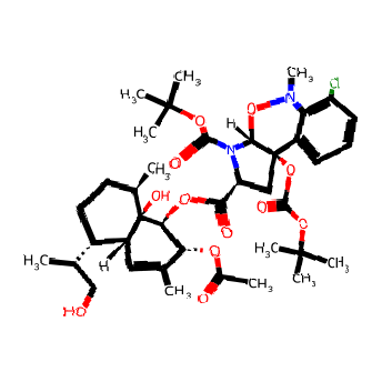 CC(=O)O[C@@H]1C(C)=C[C@@H]2[C@H](C(C)CO)CC[C@@H](C)[C@]2(O)[C@H]1OC(=O)[C@@H]1C[C@@]2(OC(=O)OC(C)(C)C)c3cccc(Cl)c3N(C)O[C@H]2N1C(=O)OC(C)(C)C